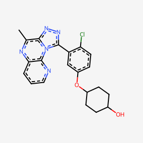 Cc1nc2cccnc2n2c(-c3cc(OC4CCC(O)CC4)ccc3Cl)nnc12